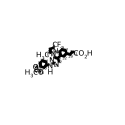 Cc1cc(C(F)(F)F)nn1-c1nc(Nc2cccc(S(C)(=O)=O)c2)ncc1-c1cccc(C=CC(=O)O)c1